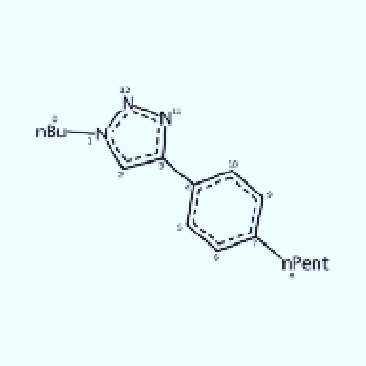 [CH2]CCCn1cc(-c2ccc(CCCCC)cc2)nn1